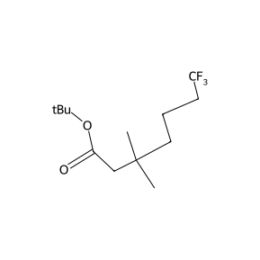 CC(C)(CCCC(F)(F)F)CC(=O)OC(C)(C)C